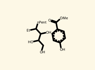 CCCCCC(CC)C(O)C(O)CO.COC(=O)c1ccc(O)cc1